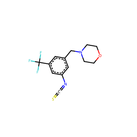 FC(F)(F)c1cc(CN2CCOCC2)cc(N=C=S)c1